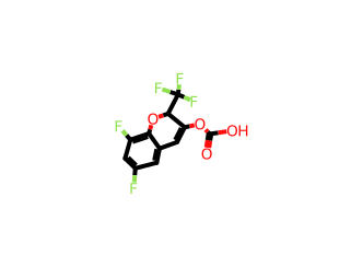 O=C(O)OC1=Cc2cc(F)cc(F)c2OC1C(F)(F)F